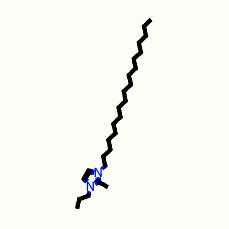 CCCCCCCCCCCCCCCCCCCn1cc[n+](CCC)c1C